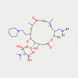 CCC1OC(=O)CC(O)C(C)C(O[C@@H]2O[C@H](C)[C@@H](O)[C@H](N(C)C)[C@H]2O)C(CCN2CCCCC2)CC(C)C(=O)/C=C\C(C)=C\C1CN(CC)CC